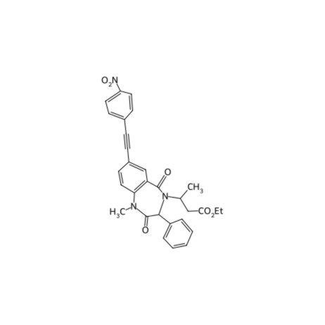 CCOC(=O)CC(C)N1C(=O)c2cc(C#Cc3ccc([N+](=O)[O-])cc3)ccc2N(C)C(=O)C1c1ccccc1